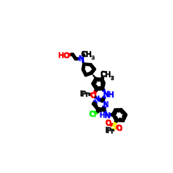 Cc1cc(Nc2ncc(Cl)c(Nc3ccccc3S(=O)(=O)C(C)C)n2)c(OC(C)C)cc1[C@H]1CC[C@H](N(C)CCO)CC1